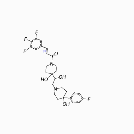 O=C(/C=C/c1cc(F)c(F)c(F)c1)N1CCC(O)(C(O)CN2CCC(O)(c3ccc(F)cc3)CC2)CC1